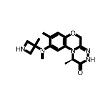 Cc1cc2c(cc1N(C)C1(C)CNC1)N1C(=NNC(=O)[C@H]1C)CO2